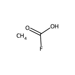 C.O=C(O)F